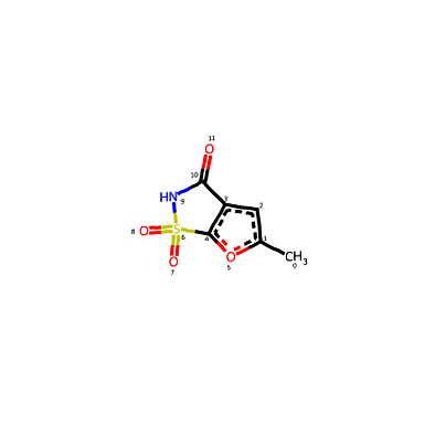 Cc1cc2c(o1)S(=O)(=O)NC2=O